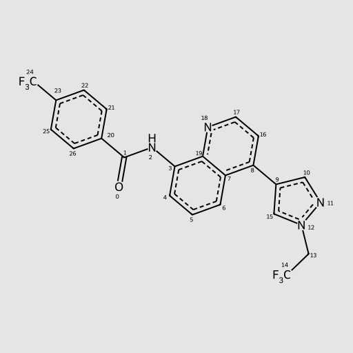 O=C(Nc1cccc2c(-c3cnn(CC(F)(F)F)c3)ccnc12)c1ccc(C(F)(F)F)cc1